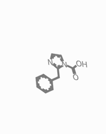 O=C(O)n1ccnc1Cc1ccccc1